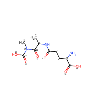 [CH2]C(NC(=O)CCC(N)C(=O)O)C(=O)N(C)C(=O)O